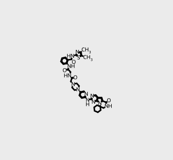 Cc1nc(NC(=O)c2ccccc2NC(=O)CNC(=O)CN2CCN(c3ccc(Nc4ncc5cc6n(c5n4)C4(CCCCC4)CNC6=O)nc3)CC2)sc1C